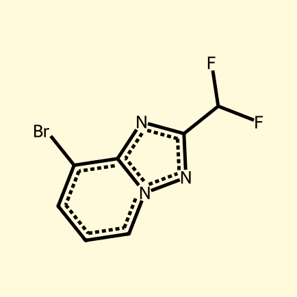 FC(F)c1nc2c(Br)cccn2n1